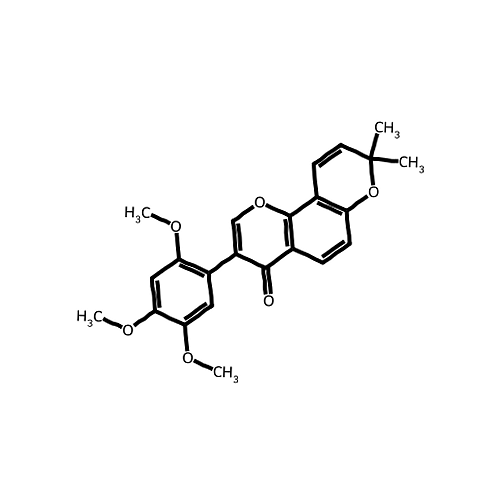 COc1cc(OC)c(-c2coc3c4c(ccc3c2=O)OC(C)(C)C=C4)cc1OC